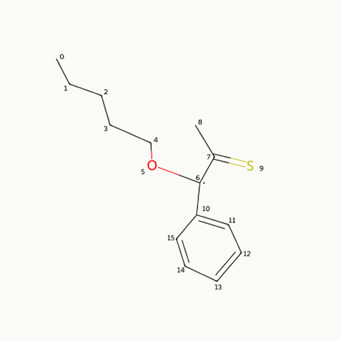 CCCCCO[C](C(C)=S)c1ccccc1